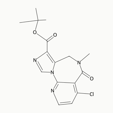 CN1Cc2c(C(=O)OC(C)(C)C)ncn2-c2nccc(Cl)c2C1=O